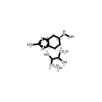 CCCN[C@H]1CCc2nc(N)sc2C1.Cl.O=C(O)C(O)C(O)C(=O)O